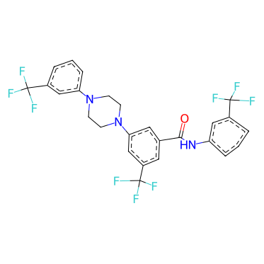 O=C(Nc1cccc(C(F)(F)F)c1)c1cc(N2CCN(c3cccc(C(F)(F)F)c3)CC2)cc(C(F)(F)F)c1